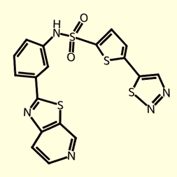 O=S(=O)(Nc1cccc(-c2nc3ccncc3s2)c1)c1ccc(-c2cnns2)s1